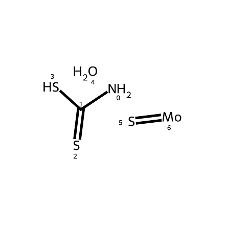 NC(=S)S.O.[S]=[Mo]